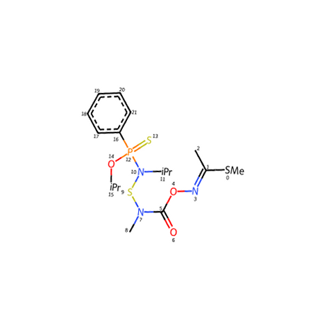 CSC(C)=NOC(=O)N(C)SN(C(C)C)P(=S)(OC(C)C)c1ccccc1